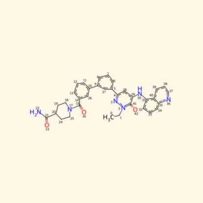 CCn1nc(-c2cccc(-c3cccc(C(=O)N4CCC(C(N)=O)CC4)c3)c2)cc(Nc2cccc3ncccc23)c1=O